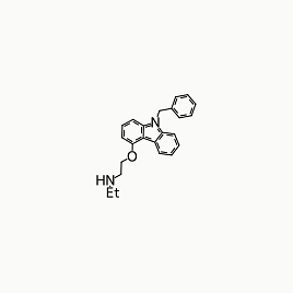 CCNCCOc1cccc2c1c1ccccc1n2Cc1ccccc1